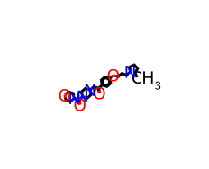 CC1CCCN1CCCOc1ccc(C(=O)CN2CCN(C(=O)N3CCOCC3)CC2)cc1